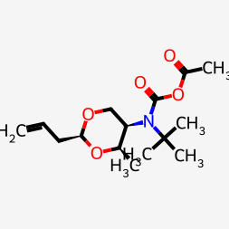 C=CC[C@H]1OC[C@@H](N(C(=O)OC(C)=O)C(C)(C)C)[C@@H](C)O1